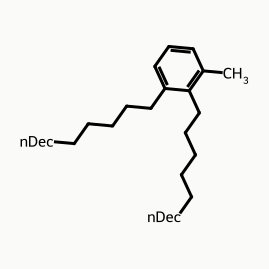 CCCCCCCCCCCCCCCc1cccc(C)c1CCCCCCCCCCCCCCC